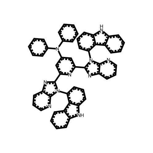 c1ccc(N(c2ccccc2)c2cc(-c3nc4cccnc4n3-c3cccc4[nH]c5ccccc5c34)nc(-c3nc4cccnc4n3-c3cccc4[nH]c5ccccc5c34)c2)cc1